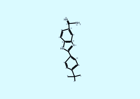 CC(C)(C)c1ccc(-c2nc3cc(C(=N)N)ccc3[nH]2)cc1